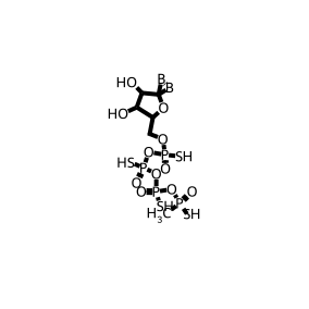 CP(=O)(S)OP(=O)(S)OP(=O)(S)OP(=O)(S)OCC1OC2(B=B2)C(O)C1O